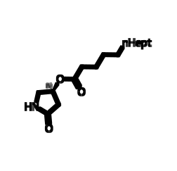 CCCCCCCCCCCC(=O)O[C@@H]1CNC(=O)C1